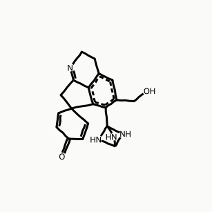 O=C1C=CC2(C=C1)CC1=NCCc3cc(CO)c(C45NC(N4)N5)c2c31